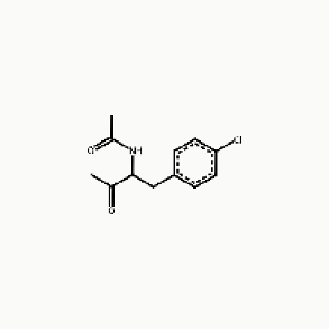 CC(=O)NC(Cc1ccc(Cl)cc1)C(C)=O